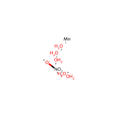 O.O.O.O.O.O=[N+]([O-])[O-].[Mn]